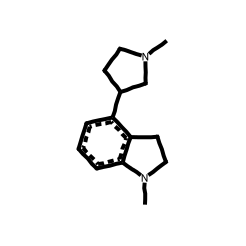 CN1CCC(c2cccc3c2CCN3C)C1